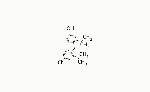 CC(C)c1cc(O)ccc1Cc1ccc(Cl)cc1C(C)C